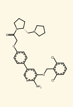 Nc1ncc(-c2ccc(OCC(=O)N3CCC[C@@H]3CN3CCCC3)cc2)cc1OCc1c(Cl)cccc1Cl